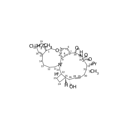 C=C1COc2ccc3cc2N(CCCC/C1=C/C(Cl)=C\C)C[C@@H]1CC[C@H]1[C@@H](O)/C=C/C[C@@H](C)[C@@H](C(C)C)S(=O)(=O)NC3=O